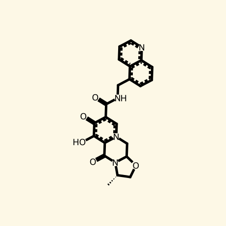 C[C@H]1COC2Cn3cc(C(=O)NCc4cccc5ncccc45)c(=O)c(O)c3C(=O)N21